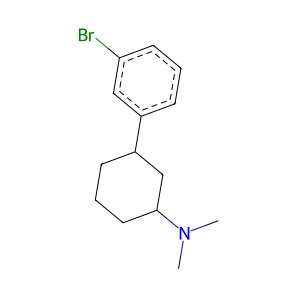 CN(C)C1CCCC(c2cccc(Br)c2)C1